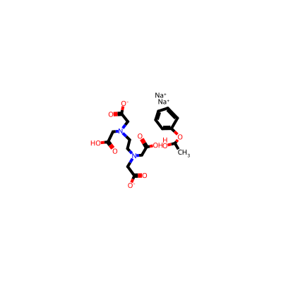 CC(O)Oc1ccccc1.O=C([O-])CN(CCN(CC(=O)[O-])CC(=O)O)CC(=O)O.[Na+].[Na+]